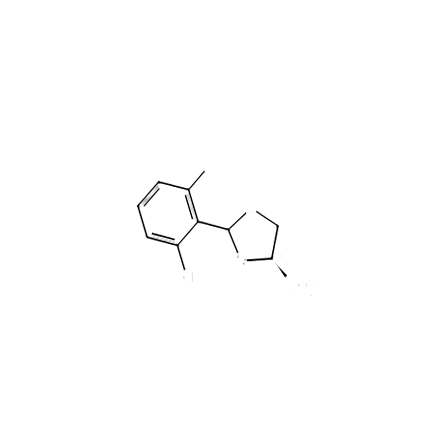 O=C(O)[C@@H]1CSC(c2c(F)cccc2Cl)N1